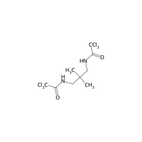 CC(C)(CNC(=O)C(Cl)(Cl)Cl)CNC(=O)C(Cl)(Cl)Cl